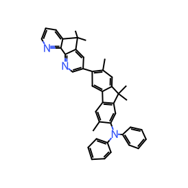 Cc1cc2c(cc1-c1cnc3c(c1)C(C)(C)c1cccnc1-3)-c1cc(C)c(N(c3ccccc3)c3ccccc3)cc1C2(C)C